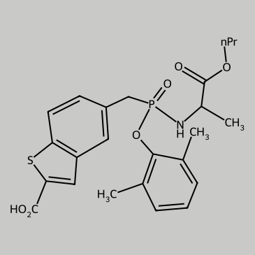 CCCOC(=O)C(C)NP(=O)(Cc1ccc2sc(C(=O)O)cc2c1)Oc1c(C)cccc1C